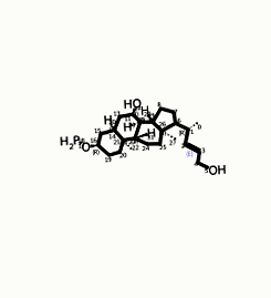 C[C@H](/C=C/CO)C1CC[C@H]2[C@@H]3[C@H](O)C[C@@H]4C[C@H](OP)CC[C@]4(C)[C@H]3CC[C@]12C